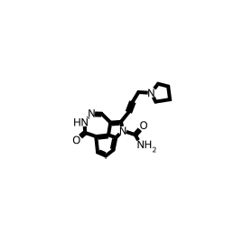 NC(=O)n1c(C#CCN2CCCC2)c2c3c(c[c]cc31)C(=O)NN=C2